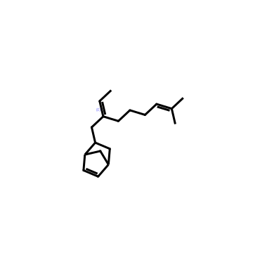 C/C=C(\CCCC=C(C)C)CC1CC2C=CC1C2